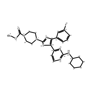 CC(C)(C)OC(=O)N1CCN(c2nc(-c3cccc(F)c3)c(-c3ccnc(NC4CCCCC4)n3)s2)CC1